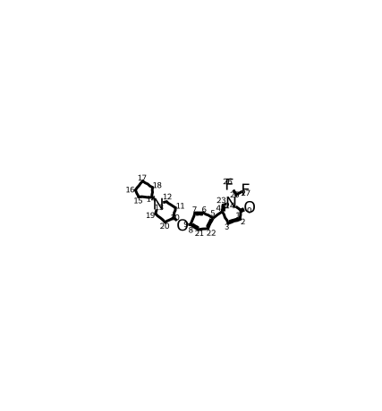 O=c1ccc(-c2ccc(OC3CCN(C4CCCC4)CC3)cc2)cn1C(F)F